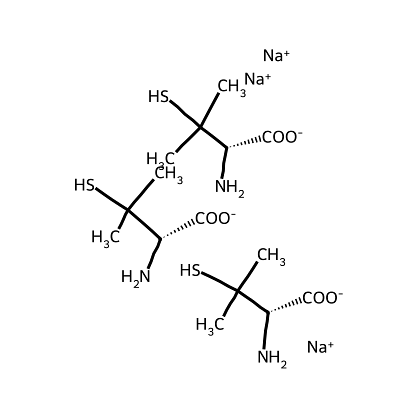 CC(C)(S)[C@@H](N)C(=O)[O-].CC(C)(S)[C@@H](N)C(=O)[O-].CC(C)(S)[C@@H](N)C(=O)[O-].[Na+].[Na+].[Na+]